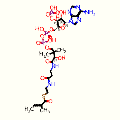 CC=C(C)C(=O)SCCNC(=O)CCNC(=O)[C@H](O)C(C)(C)COP(=O)(O)OP(=O)(O)OC[C@H]1O[C@@H](n2cnc3c(N)ncnc32)[C@H](O)[C@@H]1OP(=O)(O)O